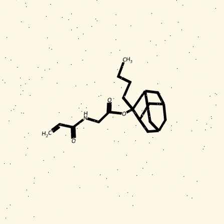 C=CC(=O)NCC(=O)OC1(CCCC)C2CC3CC(C2)CC1C3